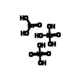 [O]=[Sb]([OH])([OH])[OH].[O]=[Sn]([OH])[OH].[O]=[W](=[O])([OH])[OH]